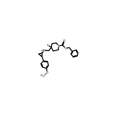 COc1ccc(C2CC2NCC2(F)CCN(C(=O)OCc3ccccc3)CC2)cc1